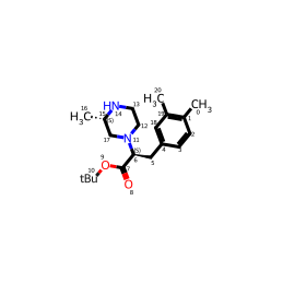 Cc1ccc(C[C@@H](C(=O)OC(C)(C)C)N2CCN[C@@H](C)C2)cc1C